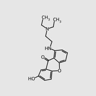 CCN(CC)CCNc1cccc2oc3ccc(O)cc3c(=O)c12